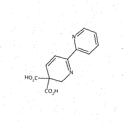 O=C(O)C1(C(=O)O)C=CC(c2ccccn2)=NC1